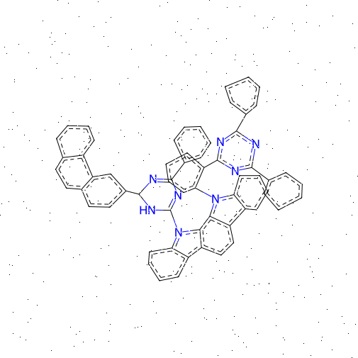 c1ccc(C2=NC(c3ccc4ccc5ccccc5c4c3)NC(n3c4ccccc4c4ccc5c6ccccc6n(-c6ccccc6-c6nc(-c7ccccc7)nc(-c7ccccc7)n6)c5c43)=N2)cc1